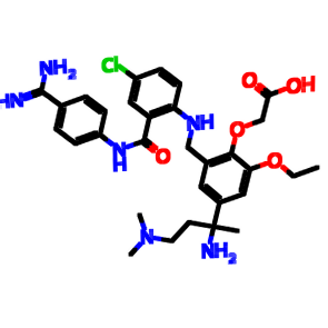 CCOc1cc(C(C)(N)CCN(C)C)cc(CNc2ccc(Cl)cc2C(=O)Nc2ccc(C(=N)N)cc2)c1OCC(=O)O